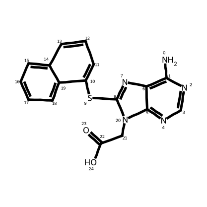 Nc1ncnc2c1nc(Sc1cccc3ccccc13)n2CC(=O)O